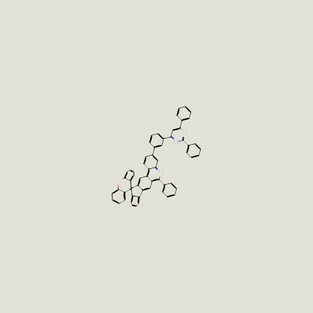 c1ccc(-c2cc(-c3cccc(-c4ccc5c(c4)nc(-c4ccccc4)c4cc6c(cc45)C4(c5ccccc5Oc5ccccc54)c4ccccc4-6)c3)nc(-c3ccccc3)n2)cc1